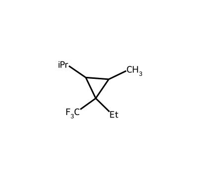 CCC1(C(F)(F)F)C(C)C1C(C)C